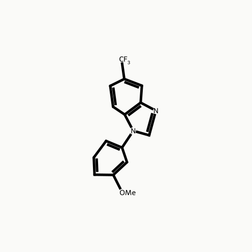 COc1cccc(-n2cnc3cc(C(F)(F)F)ccc32)c1